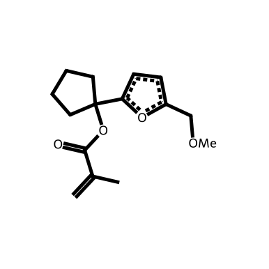 C=C(C)C(=O)OC1(c2ccc(COC)o2)CCCC1